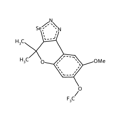 COc1cc2c(cc1OC(F)(F)F)OC(C)(C)c1[se]nnc1-2